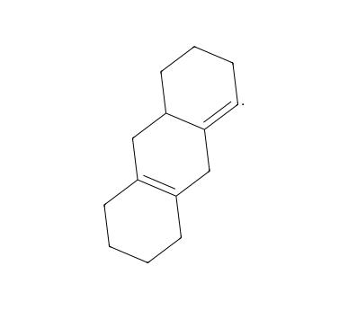 [C]1=C2CC3=C(CCCC3)CC2CCC1